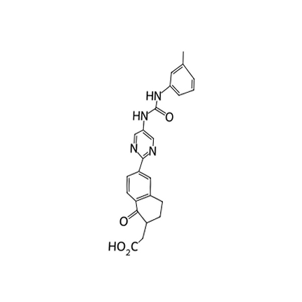 Cc1cccc(NC(=O)Nc2cnc(-c3ccc4c(c3)CCC(CC(=O)O)C4=O)nc2)c1